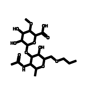 CCCOCC1OC(C)C(NC(C)=O)C(OC2OC(C(=O)O)C(OC)C(O)C2O)C1O